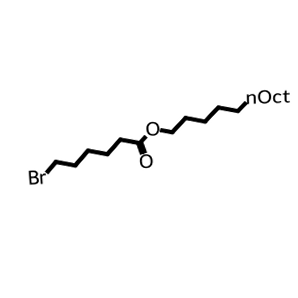 CCCCCCCCCCCCCOC(=O)CCCCCBr